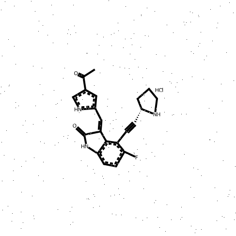 CC(=O)c1c[nH]c(/C=C2\C(=O)Nc3ccc(F)c(C#C[C@@H]4CCCN4)c32)c1.Cl